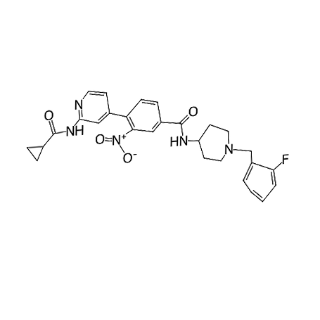 O=C(NC1CCN(Cc2ccccc2F)CC1)c1ccc(-c2ccnc(NC(=O)C3CC3)c2)c([N+](=O)[O-])c1